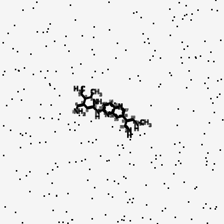 CCC(CC)C(=C/N)/C=C(\N)Nc1ccc2ncc(/C(C=N)=C/NC)cc2n1